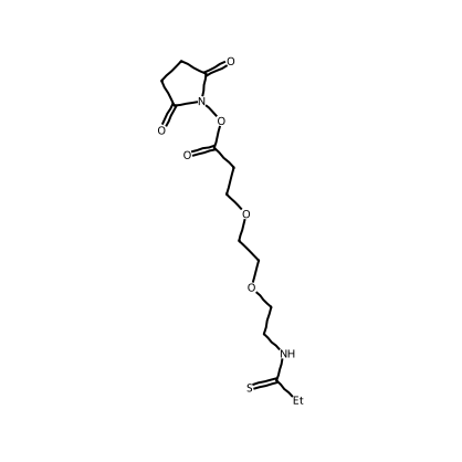 CCC(=S)NCCOCCOCCC(=O)ON1C(=O)CCC1=O